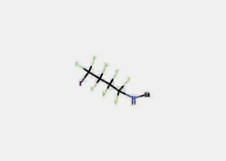 CCNC(F)(F)C(F)(F)C(F)(F)C(F)(F)I